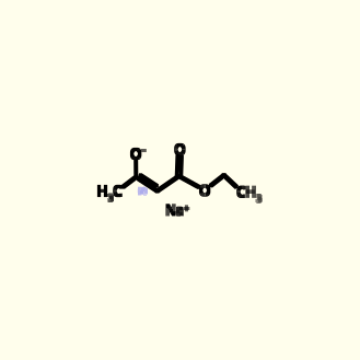 CCOC(=O)/C=C(/C)[O-].[Na+]